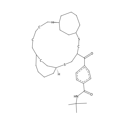 CC(C)(C)NC(=O)c1ccc(C(=O)C2CSC3CCCC[C@H](CCCCCC4CCCC[C@@H](CC4)SC2)CC3)cc1